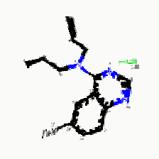 C=CCN(CC=C)c1ncnc2ccc(NC)cc12.Cl